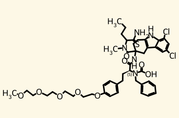 CCCC(C(N)=S)N(C)C(=O)C1(NC(=O)[C@H](CCc2ccc(OCCOCCOCCOCCOC)cc2)N(Cc2ccccc2)C(=O)O)CCc2[nH]c3c(Cl)cc(Cl)cc3c2C1